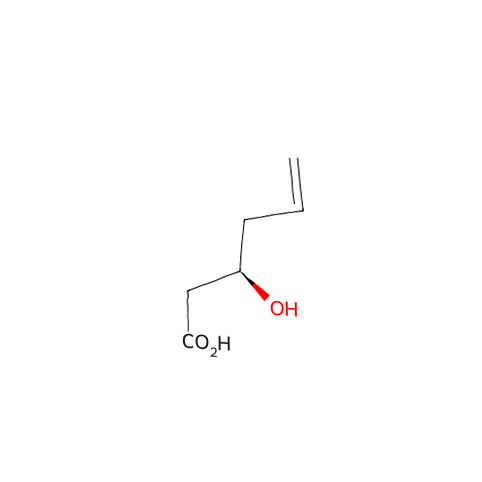 C=CC[C@@H](O)CC(=O)O